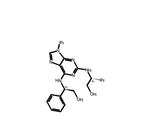 CC(C)[C@H](CO)Nc1nc(N[C@@H](CO)c2ccccc2)c2ncn(C(C)C)c2n1